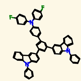 Fc1ccc(N(c2ccc(F)cc2)c2ccc(-c3cc(-c4ccc5c(c4)c4ccccc4n5-c4ccccc4)cc(-c4ccc5c(c4)c4ccccc4n5-c4ccccc4)c3)cc2)cc1